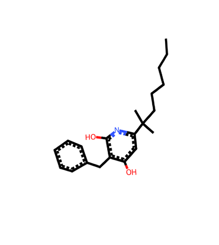 CCCCCCC(C)(C)c1cc(O)c(Cc2ccccc2)c(O)n1